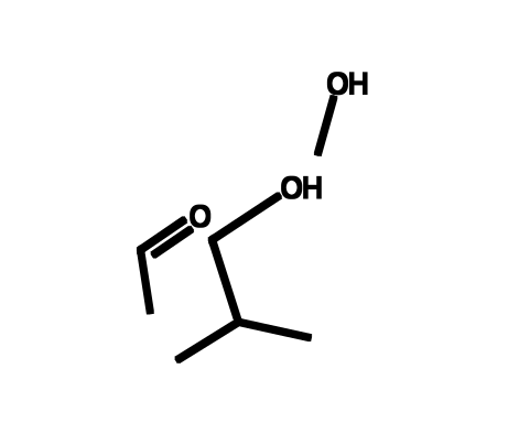 CC(C)CO.CC=O.CO